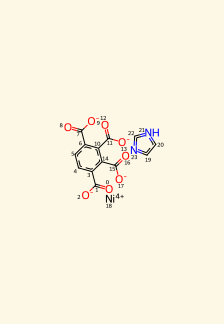 O=C([O-])c1ccc(C(=O)[O-])c(C(=O)[O-])c1C(=O)[O-].[Ni+4].c1c[nH]cn1